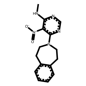 CNc1ncnc(N2CCc3ccccc3CC2)c1[N+](=O)[O-]